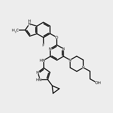 Cc1cc2c(F)c(Oc3nc(Nc4cc(C5CC5)[nH]n4)cc(N4CCN(CCO)CC4)n3)ccc2[nH]1